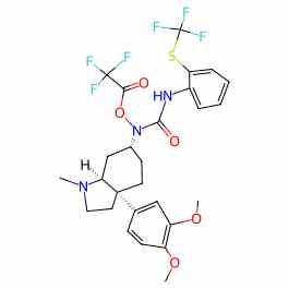 COc1ccc([C@@]23CC[C@@H](N(OC(=O)C(F)(F)F)C(=O)Nc4ccccc4SC(F)(F)F)C[C@@H]2N(C)CC3)cc1OC